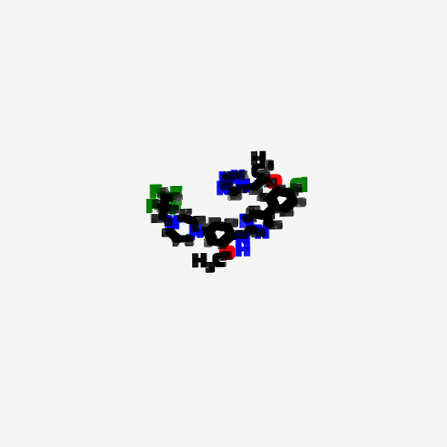 COc1cc(N2CCCN(CC(F)(F)C(F)F)CC2)ccc1Nc1ncc(-c2ccc(Cl)c(OC(C)Cn3cnnn3)c2)cn1